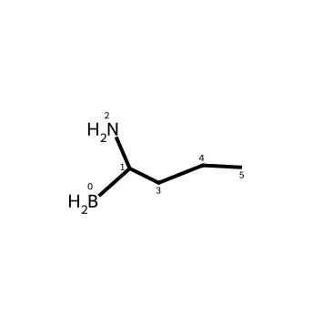 BC(N)CCC